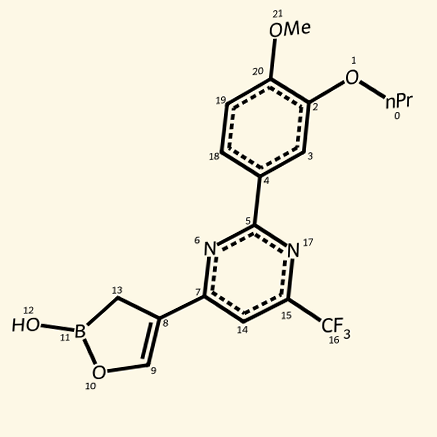 CCCOc1cc(-c2nc(C3=COB(O)C3)cc(C(F)(F)F)n2)ccc1OC